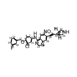 O=[N+]([O-])c1cc2c(Nc3ccc(OCc4cccc(F)c4)c(Cl)c3)ncnc2cc1C#CC1[C@H]2CNC[C@@H]12